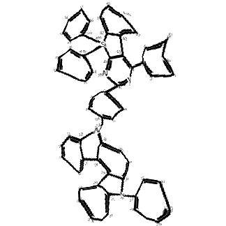 c1ccc(-c2nc(-c3ccc(-n4c5ccccc5c5c6c7ccccc7n(-c7ccccc7)c6ccc54)cc3)nc3c2-c2ccccc2[Si]3(c2ccccc2)c2ccccc2)cc1